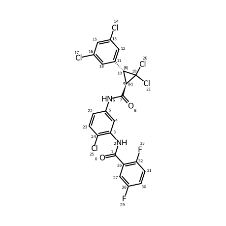 O=C(Nc1cc(NC(=O)[C@H]2[C@H](c3cc(Cl)cc(Cl)c3)C2(Cl)Cl)ccc1Cl)c1cc(F)ccc1F